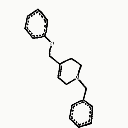 C1=C(COc2ccccc2)CCN(Cc2ccccc2)C1